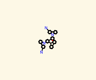 N#Cc1ccc2c(c1)c1ccccc1n2-c1cccc(-c2ccc(-n3c4ccccc4c4cc(C#N)ccc43)cc2C2c3ccccc3-c3ccccc32)c1